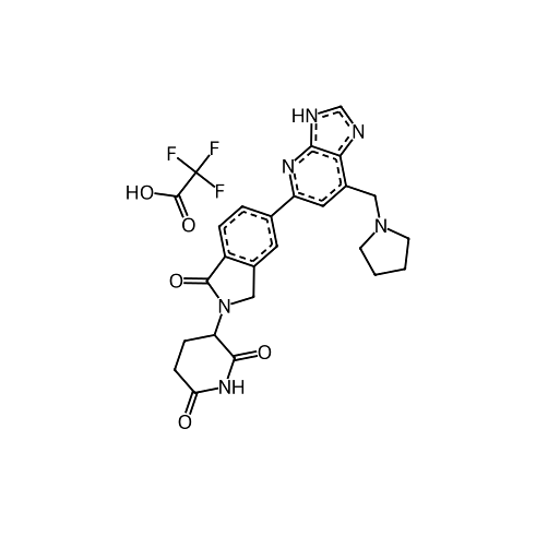 O=C(O)C(F)(F)F.O=C1CCC(N2Cc3cc(-c4cc(CN5CCCC5)c5nc[nH]c5n4)ccc3C2=O)C(=O)N1